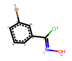 ON=C(Cl)c1cccc(Br)c1